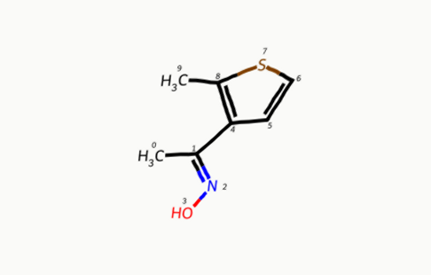 CC(=NO)c1ccsc1C